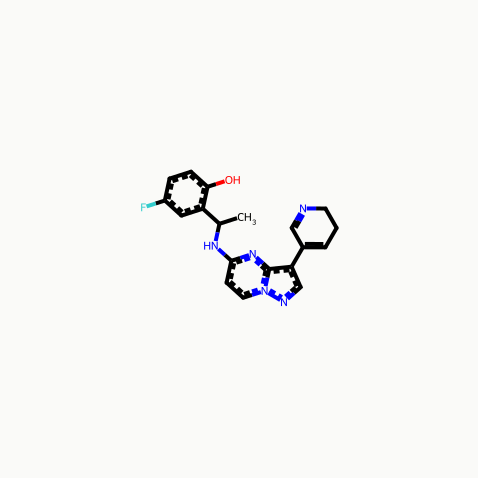 CC(Nc1ccn2ncc(C3=CCCN=C3)c2n1)c1cc(F)ccc1O